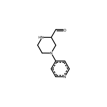 O=CC1CN(c2ccncc2)CCN1